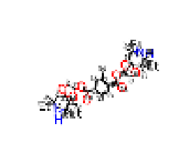 CCC1(C)CC2(OCC(OC(=O)c3ccc(C(=O)OC4COC5(CC(C)(CC)NC(C)(CC)C5C)O4)c(C)c3)O2)C(C)C(C)(CC)N1